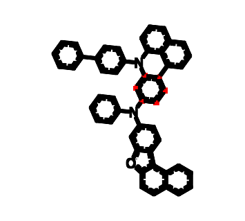 c1ccc(-c2ccc(N(c3ccccc3)c3cccc4cccc(-c5ccc(N(c6ccccc6)c6ccc7c(c6)oc6ccc8ccccc8c67)cc5)c34)cc2)cc1